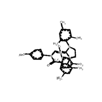 COc1ccc(N([CH]=[Ru]([Cl])([Cl])=[C]2N(c3c(C)cc(C)cc3C)CCN2c2c(C)cc(C)cc2C)C(=O)c2ccc([N+](=O)[O-])cc2)cc1